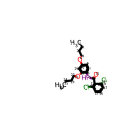 CCCCOc1ccc(PC(=O)c2c(Cl)cccc2Cl)c(OCCCC)c1.[Li]